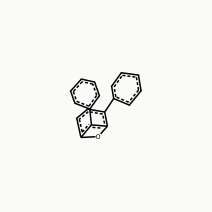 c1ccc(-c2ccc3c(-c4ccccc4)c2O3)cc1